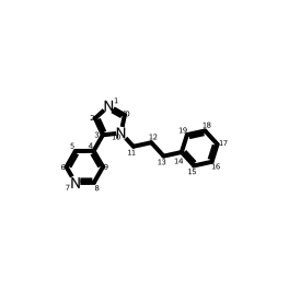 [c]1ncc(-c2ccncc2)n1CCCc1ccccc1